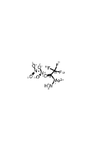 O=N[O-].O=N[O-].[NH2][Mo+2][C](=O)C(F)(F)F